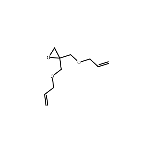 C=CCOCC1(COCC=C)CO1